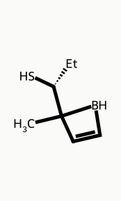 CC[C@@H](S)C1(C)BC=C1